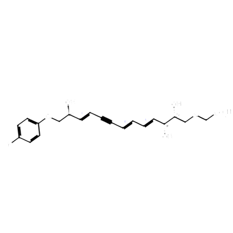 O=C(O)CSC[C@@H](O)[C@H](O)/C=C/C=C/C#C/C=C/[C@H](O)COc1ccc(F)cc1